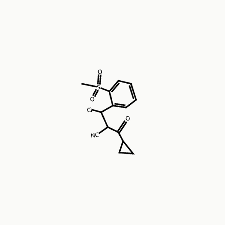 CS(=O)(=O)c1ccccc1C(Cl)C(C#N)C(=O)C1CC1